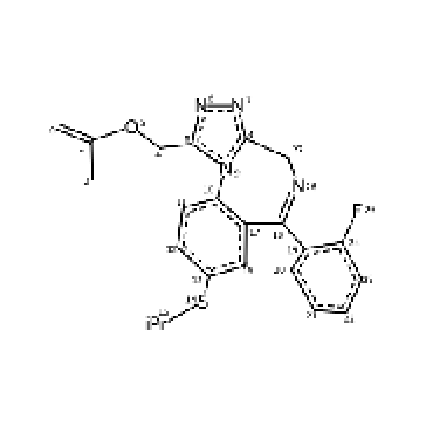 C=C(C)OCc1nnc2n1-c1ccc(SC(C)C)cc1C(c1ccccc1F)=NC2